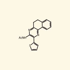 CC(=O)Nc1nc2c(nc1-c1cccs1)-c1ccccc1CC2